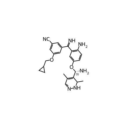 CC1=C([C@@H](N)Oc2ccc(N)c(C(=N)c3cc(C#N)cc(OCC4CC4)c3)c2)C(C)NN=C1